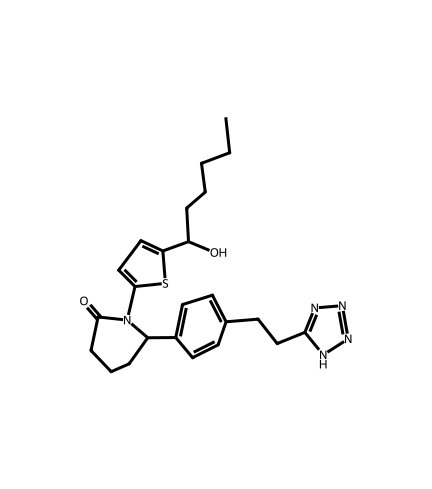 CCCCCC(O)c1ccc(N2C(=O)CCCC2c2ccc(CCc3nnn[nH]3)cc2)s1